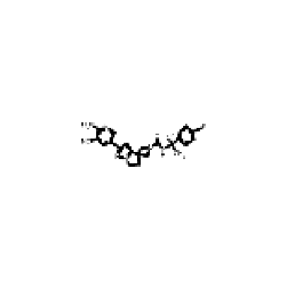 CC(C)(NC(=O)N1CC2(CCn3nc(-c4cnc(N)c(C#N)c4)cc32)C1)c1ccc(F)cc1